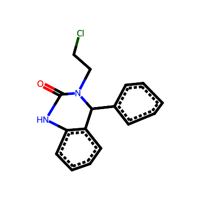 O=C1Nc2ccccc2C(c2ccccc2)N1CCCl